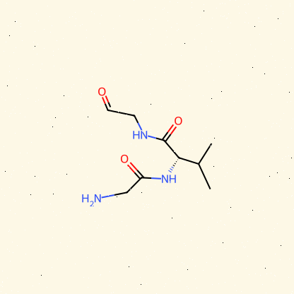 CC(C)[C@H](NC(=O)CN)C(=O)NCC=O